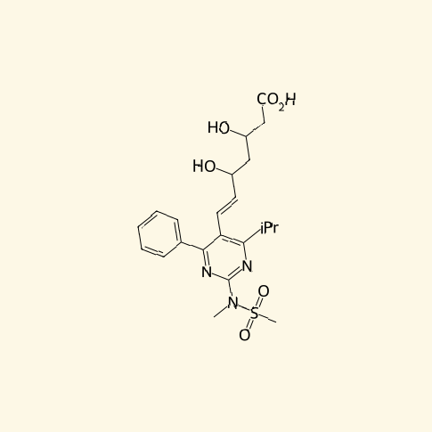 CC(C)c1nc(N(C)S(C)(=O)=O)nc(-c2ccccc2)c1C=CC(O)CC(O)CC(=O)O